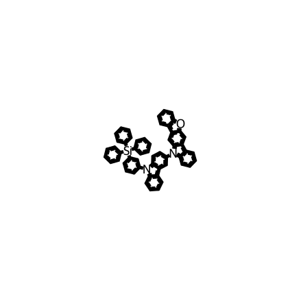 c1ccc([Si](c2ccccc2)(c2ccccc2)c2cccc(-n3c4ccccc4c4cc(-n5c6ccccc6c6cc7oc8ccccc8c7cc65)ccc43)c2)cc1